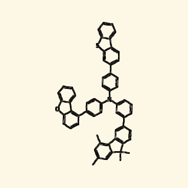 Cc1cc(C)c2c(c1)C(C)(C)c1ccc(-c3cccc(N(c4ccc(-c5ccc6c(c5)sc5ccccc56)cc4)c4ccc(-c5cccc6oc7ccccc7c56)cc4)c3)cc1-2